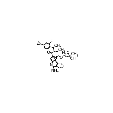 CCN(C(=O)c1cc2nc(N)c3c(c2n1COCC[Si](C)(C)C)COC3)C(C)c1ccc(C2CC2)cc1F